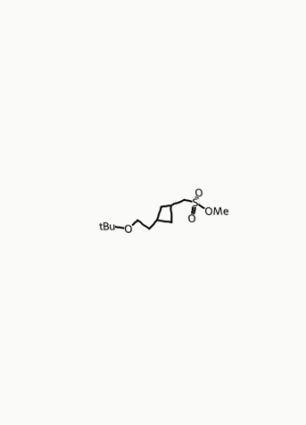 COS(=O)(=O)CC1CC(CCOC(C)(C)C)C1